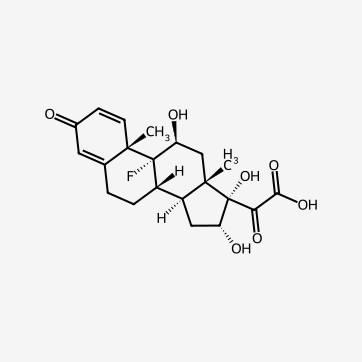 C[C@]12C=CC(=O)C=C1CC[C@H]1[C@@H]3C[C@@H](O)[C@](O)(C(=O)C(=O)O)[C@@]3(C)C[C@H](O)[C@@]12F